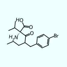 CCCC(Cc1ccc(Br)cc1)C(=O)[C@](N)(C(=O)O)C(C)C